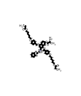 C=CC(=O)OCCCCCCOc1ccc(COc2cc(/C=N/Nc3nc4ccccc4s3)c(OC(=O)c3ccc(OCCCCCCOC(=O)C=C)cc3)c3cc(OC(=O)C(=C)C)ccc23)cc1